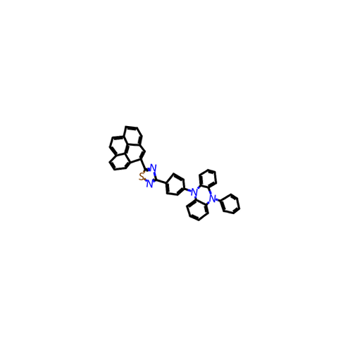 c1ccc(N2c3ccccc3N(c3ccc(-c4nsc(-c5cc6cccc7ccc8cccc5c8c76)n4)cc3)c3ccccc32)cc1